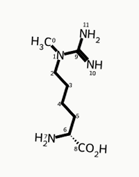 CN(CCCC[C@@H](N)C(=O)O)C(=N)N